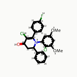 COc1cc(OC)c(Cl)c(N2C(c3ccc(F)cc3)=C(Cl)C(=O)CC2c2ccccc2)c1